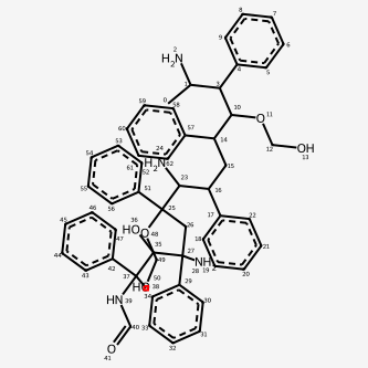 CC(N)C(c1ccccc1)C(OCO)C(CC(c1ccccc1)C(N)C(CC(N)(c1ccccc1)C(O)C(C)(NC=O)c1ccccc1)(OCO)c1ccccc1)c1ccccc1